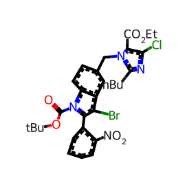 CCCCc1nc(Cl)c(C(=O)OCC)n1Cc1ccc2c(c1)c(Br)c(-c1ccccc1[N+](=O)[O-])n2C(=O)OC(C)(C)C